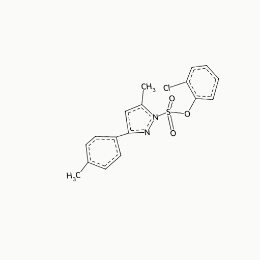 Cc1ccc(-c2cc(C)n(S(=O)(=O)Oc3ccccc3Cl)n2)cc1